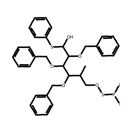 CC(COSP(I)I)C(OCc1ccccc1)C(OCc1ccccc1)C(OCc1ccccc1)C(O)Sc1ccccc1